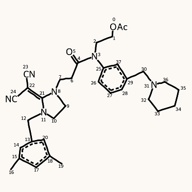 CC(=O)OCCN(C(=O)CCN1CCN(Cc2cc(C)cc(C)c2)C1=C(C#N)C#N)c1cccc(CN2CCCCC2)c1